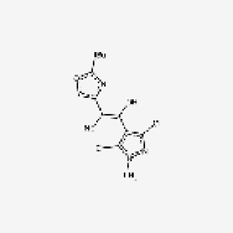 Cn1nc(Cl)c(/C(O)=C(\C#N)c2coc(C(C)(C)C)n2)c1Cl